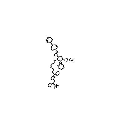 CC(=O)O[C@H]1C[C@H](OCc2ccc(-c3ccccc3)cc2)[C@H](CC/C=C\CCC(=O)OCC(=O)N(C)C)[C@H]1N1CCCCC1